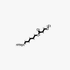 CCCCCCCCCCCCOC(=O)CCOCC